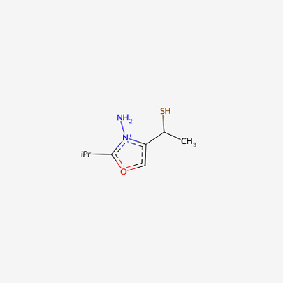 CC(C)c1occ(C(C)S)[n+]1N